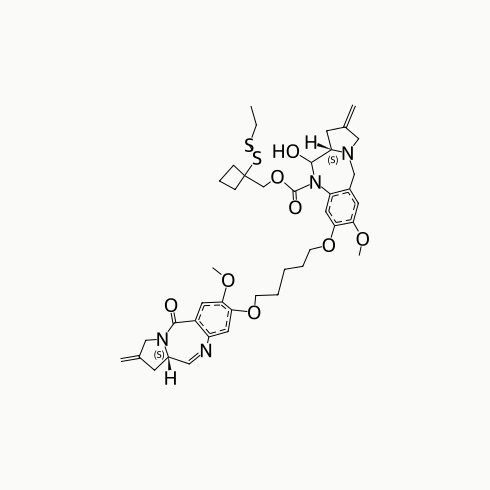 C=C1C[C@H]2C(O)N(C(=O)OCC3(SSCC)CCC3)c3cc(OCCCCCOc4cc5c(cc4OC)C(=O)N4CC(=C)C[C@H]4C=N5)c(OC)cc3CN2C1